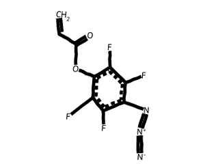 C=CC(=O)Oc1c(F)c(F)c(N=[N+]=[N-])c(F)c1F